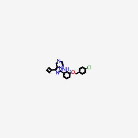 N[N+]12C=CN=CC1=C(C1=CC=C1)N=C2c1cccc(OCc2ccc(Cl)cc2)c1